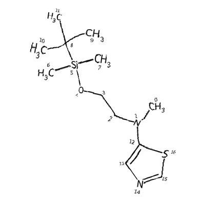 CN(CCO[Si](C)(C)C(C)(C)C)c1cncs1